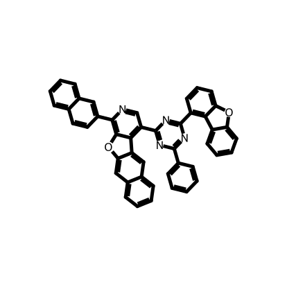 c1ccc(-c2nc(-c3cccc4oc5ccccc5c34)nc(-c3cnc(-c4ccc5ccccc5c4)c4oc5cc6ccccc6cc5c34)n2)cc1